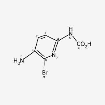 Nc1ccc(NC(=O)O)nc1Br